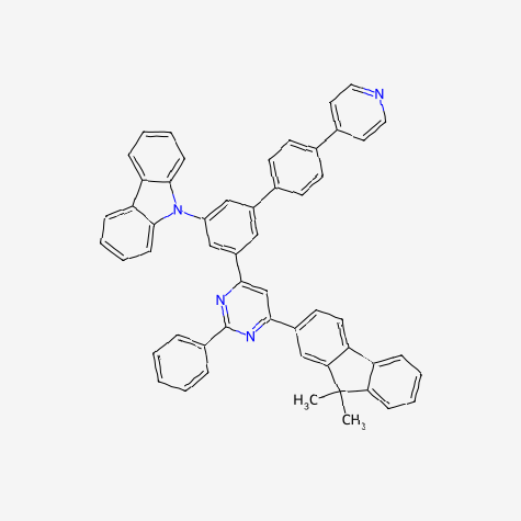 CC1(C)c2ccccc2-c2ccc(-c3cc(-c4cc(-c5ccc(-c6ccncc6)cc5)cc(-n5c6ccccc6c6ccccc65)c4)nc(-c4ccccc4)n3)cc21